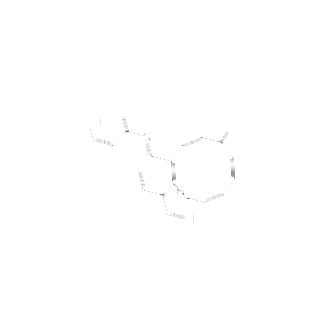 C=CC(=C)\C=C/C(=N\C(=C)/C=C\C)C1=C/C/C=C\C=C/C(=C)/C=C\1